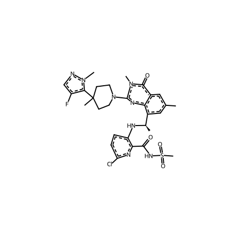 Cc1cc([C@@H](C)Nc2ccc(Cl)nc2C(=O)NS(C)(=O)=O)c2nc(N3CCC(C)(c4c(F)cnn4C)CC3)n(C)c(=O)c2c1